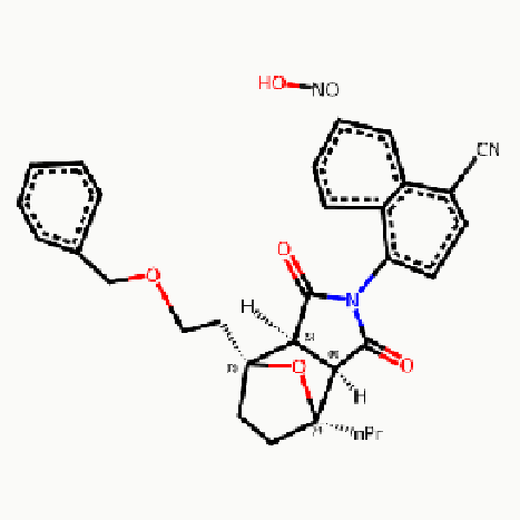 CCC[C@]12CC[C@](CCOCc3ccccc3)(O1)[C@H]1C(=O)N(c3ccc(C#N)c4ccccc34)C(=O)[C@H]12.O=NO